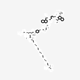 CC(C)C(NC(=O)CCOCCOCCOCCOCCOCCOCCNC(O)CBr)C(=O)NC(CCCNC(N)=O)C(=O)Nc1ccc(COC(=O)N(C)CCN(C)C(=O)Oc2cc3c(c4ccccc24)[C@H](CCl)CN3C(=O)c2ccc(C(=O)N3C[C@@H](CCl)c4c3cc(OP(=O)(O)O)c3ccccc43)s2)cc1